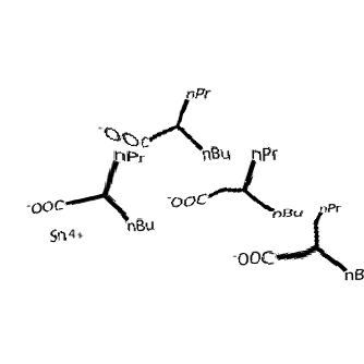 CCCCC(CCC)C(=O)[O-].CCCCC(CCC)C(=O)[O-].CCCCC(CCC)C(=O)[O-].CCCCC(CCC)C(=O)[O-].[Sn+4]